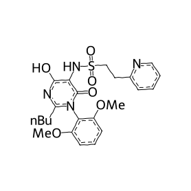 CCCCc1nc(O)c(NS(=O)(=O)CCc2ccccn2)c(=O)n1-c1c(OC)cccc1OC